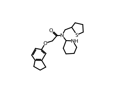 O=C(COc1ccc2c(c1)CCC2)N(CC1CCCS1)C1CCCCN1